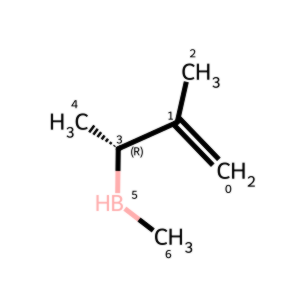 C=C(C)[C@@H](C)BC